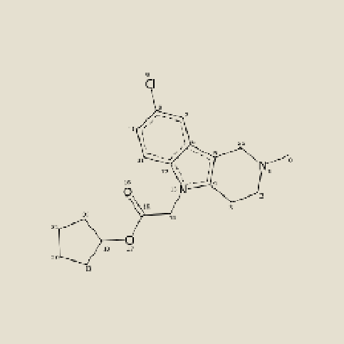 CN1CCc2c(c3cc(Cl)ccc3n2CC(=O)OC2CCCC2)C1